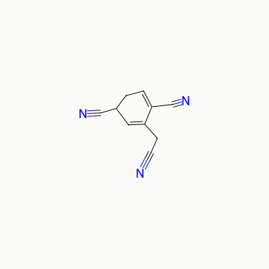 N#CCC1=CC(C#N)CC=C1C#N